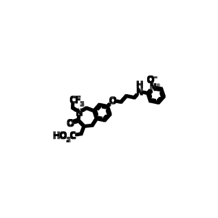 O=C(O)CC1Cc2ccc(OCCCNc3cccc[n+]3[O-])cc2CN(CC(F)(F)F)C1=O